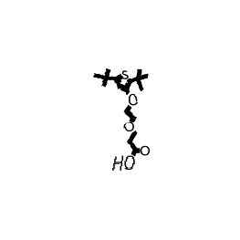 CC(C)(C)c1cc(OCCOCCC(=O)O)c(C(C)(C)C)s1